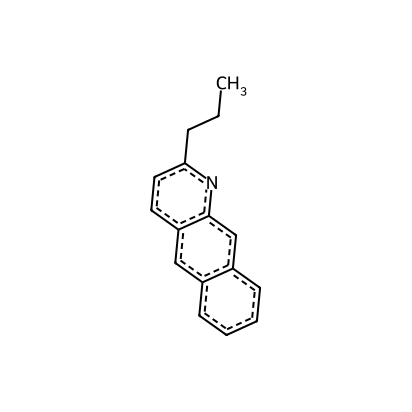 CCCc1ccc2cc3ccccc3cc2n1